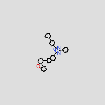 C1=CC2Oc3ccccc3C2C(c2ccc3ccc(-c4nc(-c5ccccc5)nc(-c5ccc(-c6ccccc6)cc5)n4)cc3c2)=C1